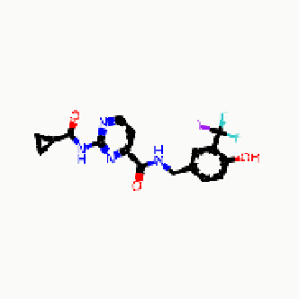 O=C(NCc1ccc(O)c(C(F)(F)I)c1)c1ccnc(NC(=O)C2CC2)n1